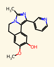 COc1cc2c(cc1O)-c1c(-c3cccnc3)nc(C)n1CC2